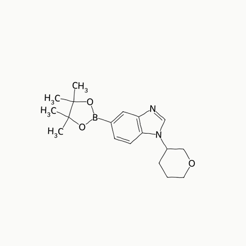 CC1(C)OB(c2ccc3c(c2)ncn3C2CCCOC2)OC1(C)C